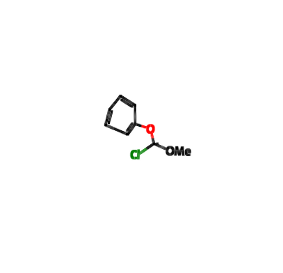 CO[C](Cl)Oc1ccccc1